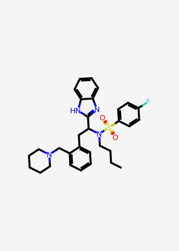 CCCCN(C(Cc1ccccc1CN1CCCCC1)c1nc2ccccc2[nH]1)S(=O)(=O)c1ccc(F)cc1